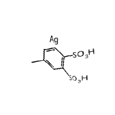 Cc1ccc(S(=O)(=O)O)c(S(=O)(=O)O)c1.[Ag]